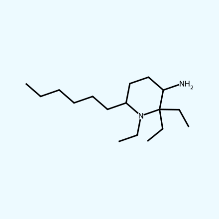 CCCCCCC1CCC(N)C(CC)(CC)N1CC